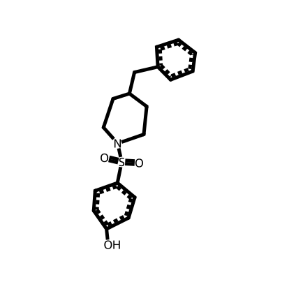 O=S(=O)(c1ccc(O)cc1)N1CCC(Cc2ccccc2)CC1